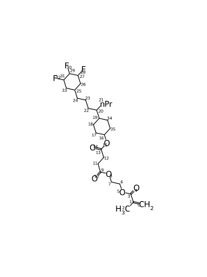 C=C(C)C(=O)OCCOC(=O)CCC(=O)OC1CCC(C(CCC)CCCC2CC(F)C(F)C(F)C2)CC1